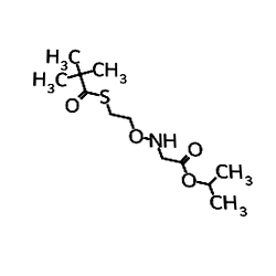 CC(C)OC(=O)CNOCCSC(=O)C(C)(C)C